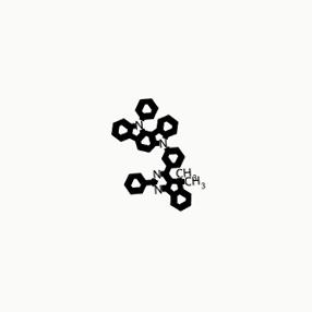 CC1(C)c2ccccc2-c2nc(-c3ccccc3)nc(-c3cccc(-n4c5ccccc5c5c4ccc4c6ccccc6n(-c6ccccc6)c45)c3)c21